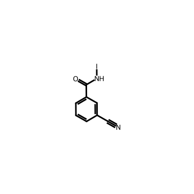 N#Cc1cccc(C(=O)NI)c1